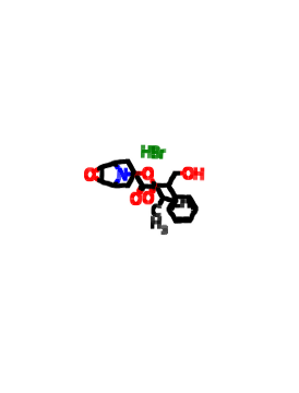 Br.CC(C)CC(=O)CN1C2CC(OC(=O)C(CO)c3ccccc3)CC1C1OC12